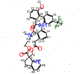 CCOC(=O)C1(COC(=O)Cc2cccc(NC(=O)c3cccc(OC)c3-c3ccc(C(F)(F)F)cc3)c2C(=O)N(C)C)CCc2cccnc21